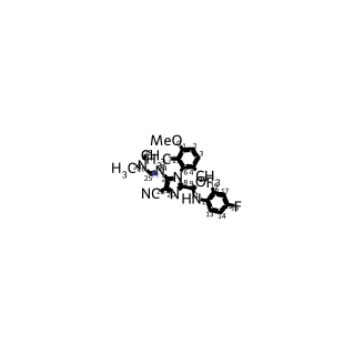 COc1ccc(C)c(-n2c(C(=O)Nc3ccc(F)cc3F)nc(C#N)c2/N=C/N(C)C)c1C